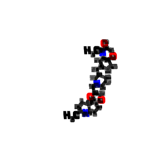 Cc1ccc2c3c(ccc2n1)OC[C@H](CN1CCCC(Cc2ccc4c(c2)N(C)C(=O)CO4)C1)O3